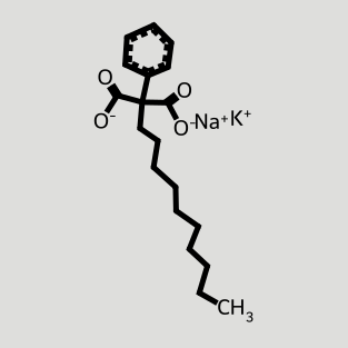 CCCCCCCCCCC(C(=O)[O-])(C(=O)[O-])c1ccccc1.[K+].[Na+]